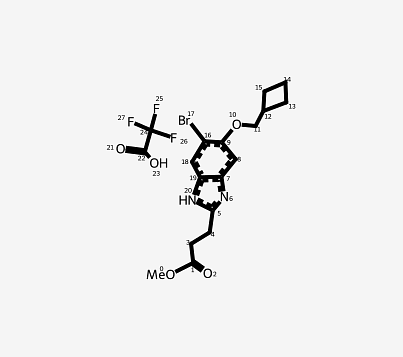 COC(=O)CCc1nc2cc(OCC3CCC3)c(Br)cc2[nH]1.O=C(O)C(F)(F)F